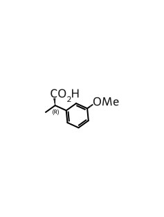 COc1cccc([C@@H](C)C(=O)O)c1